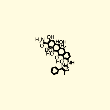 Cc1sc(Nc2ccc3c(c2O)C(=O)C2=C(O)[C@]4(O)C(=O)C(C(N)=O)=C(O)C[C@@H]4[C@@H](O)[C@@H]2[C@H]3C)nc1-c1ccccc1